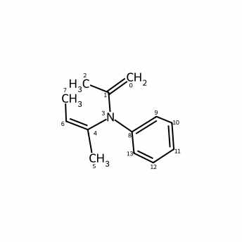 C=C(C)N(/C(C)=C\C)c1ccccc1